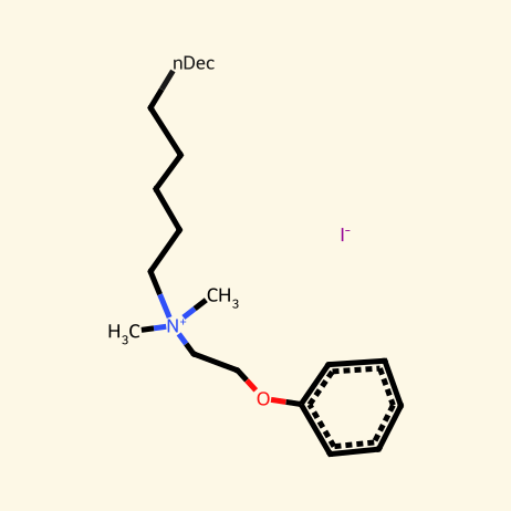 CCCCCCCCCCCCCCC[N+](C)(C)CCOc1ccccc1.[I-]